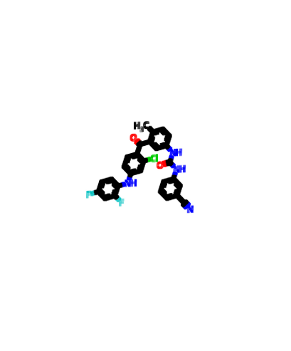 Cc1ccc(NC(=O)Nc2cccc(C#N)c2)cc1C(=O)c1ccc(Nc2ccc(F)cc2F)cc1Cl